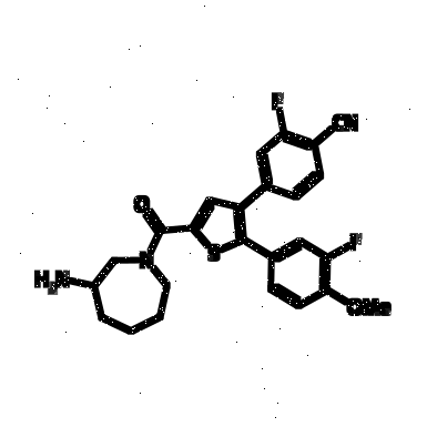 COc1ccc(-c2sc(C(=O)N3CCCCC(N)C3)cc2-c2ccc(C#N)c(F)c2)cc1F